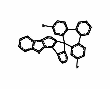 Brc1ccc2c(c1)C1(c3cc(Br)ccc3-c3ccccc3-2)c2ccccc2-c2c1ccc1c2sc2ccccc21